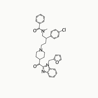 CN(CC(CCN1CCC(C(=O)c2nc3ccccc3n2Cc2ccco2)CC1)c1ccc(Cl)cc1)C(=O)c1ccccc1